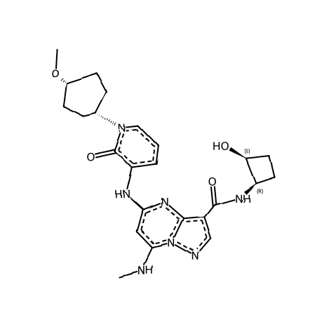 CNc1cc(Nc2cccn([C@H]3CC[C@@H](OC)CC3)c2=O)nc2c(C(=O)N[C@@H]3CC[C@@H]3O)cnn12